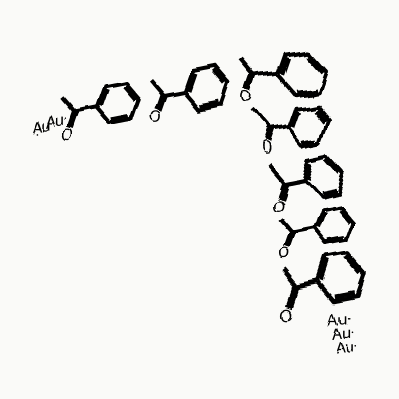 CC(=O)c1ccccc1.CC(=O)c1ccccc1.CC(=O)c1ccccc1.CC(=O)c1ccccc1.CC(=O)c1ccccc1.CC(=O)c1ccccc1.CC(=O)c1ccccc1.[Au].[Au].[Au].[Au].[Au]